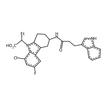 CCC(C(=O)O)n1c2c(c3cc(F)cc(Cl)c31)CC(NC(=O)CCc1c[nH]c3ccccc13)CC2